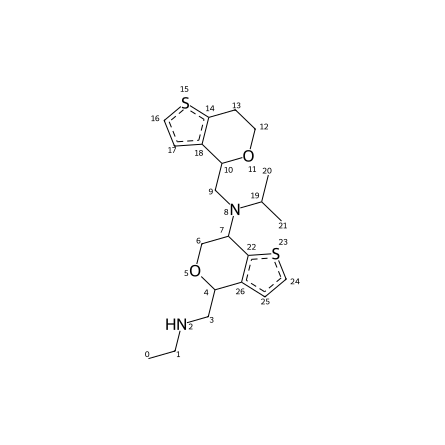 CCNCC1OCC(N(CC2OCCc3sccc32)C(C)C)c2sccc21